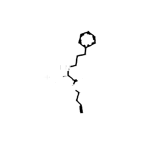 C=CCCOC(=O)[C@H](NCCCc1ccccc1)C(=O)O